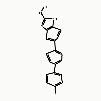 CC(C)Nc1nc2cc(-c3ccc(-c4ccc(F)cc4)cn3)ccc2[nH]1